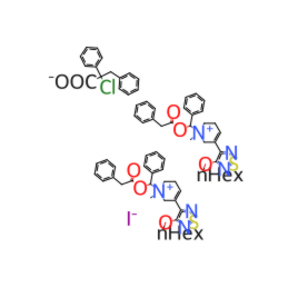 CCCCCCOc1nsnc1C1=CCC[N+](C)(C(OC(=O)Cc2ccccc2)c2ccccc2)C1.CCCCCCOc1nsnc1C1=CCC[N+](C)(C(OC(=O)Cc2ccccc2)c2ccccc2)C1.O=C([O-])C(Cl)(Cc1ccccc1)c1ccccc1.[I-]